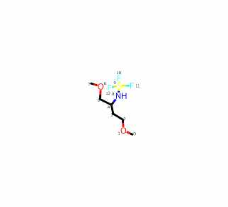 COCCC(COC)NS(F)(F)F